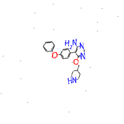 Nc1ncnc(OCC2CCNCC2)c1-c1ccc(Oc2ccccc2)cc1